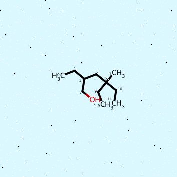 CCC(CO)CC(C)(CC)CC